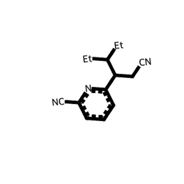 CCC(CC)C(CC#N)c1cccc(C#N)n1